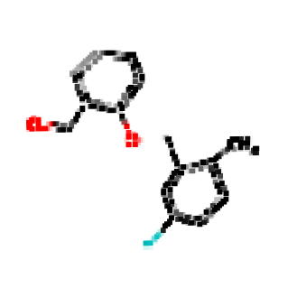 Cc1ccc(F)cc1COc1ccccc1C=O